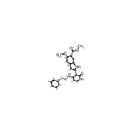 COC(=O)c1cc2[nH]c(-c3c(NCCc4ccccc4)cc[nH]c3=O)cc2cc1OC